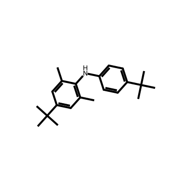 Cc1cc(C(C)(C)C)cc(C)c1Nc1ccc(C(C)(C)C)cc1